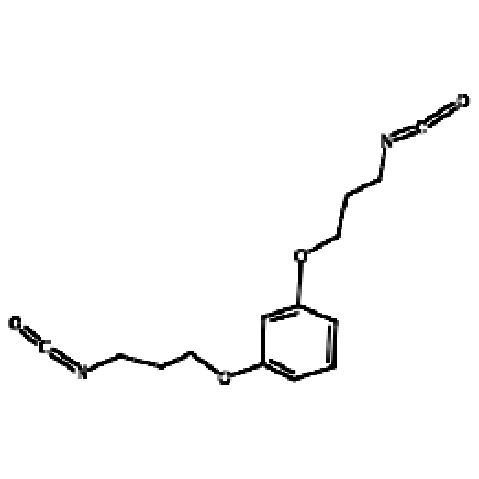 O=C=NCCCOc1cccc(OCCCN=C=O)c1